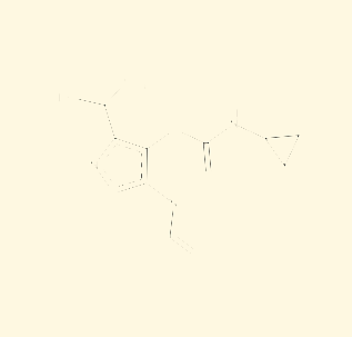 CC(C)c1noc(NC=O)c1OC(=O)NC1CC1